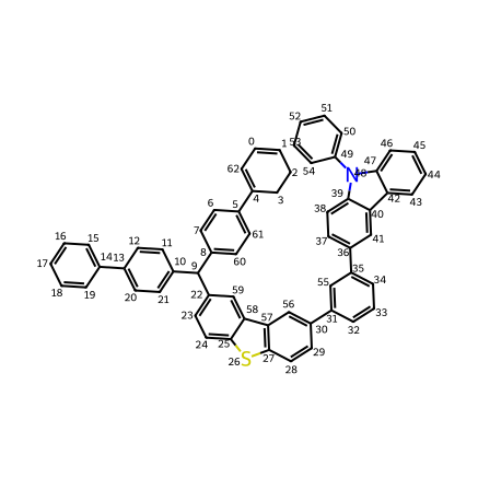 C1=CCCC(c2ccc(C(c3ccc(-c4ccccc4)cc3)c3ccc4sc5ccc(-c6cccc(-c7ccc8c(c7)c7ccccc7n8-c7ccccc7)c6)cc5c4c3)cc2)=C1